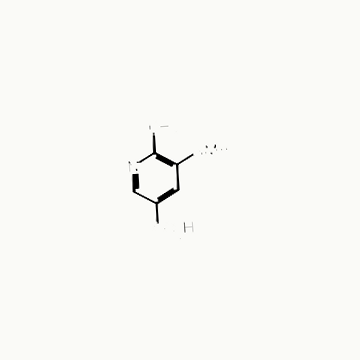 CSc1cc(C(=O)O)cnc1C